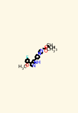 COc1ccc(F)cc1-c1ccnc2[nH]c(C3=CCC(N4CCN(CC(=O)OC(C)(C)C)CC4)CC3)cc12